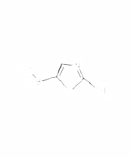 Cc1ncc(BO)s1